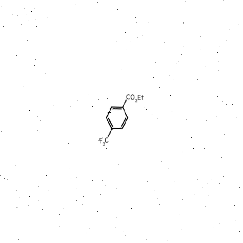 [CH2]COC(=O)c1ccc(C(F)(F)F)cc1